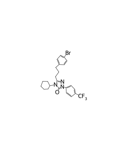 O=c1n(-c2ccc(C(F)(F)F)cc2)nc(CCCc2ccc(Br)cc2)n1C1CCCCC1